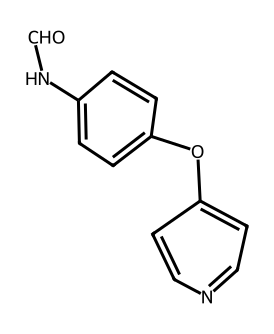 O=CNc1ccc(Oc2ccncc2)cc1